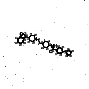 O=C(NC1CCC(CCN2CCC(c3coc4ccccc34)CC2)CC1)c1ccc(-n2cccc2)cc1